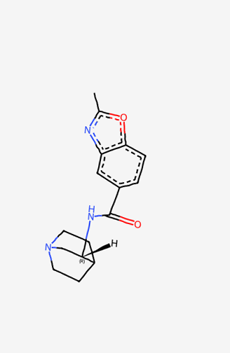 Cc1nc2cc(C(=O)N[C@H]3CN4CCC3CC4)ccc2o1